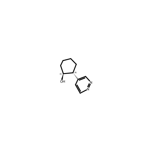 O[C@H]1CCCC[C@@H]1c1ccnnc1